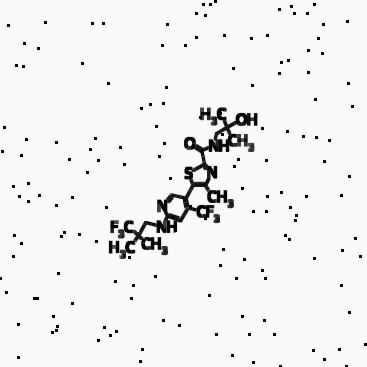 Cc1nc(C(=O)NCC(C)(C)O)sc1-c1cnc(NCC(C)(C)C(F)(F)F)cc1C(F)(F)F